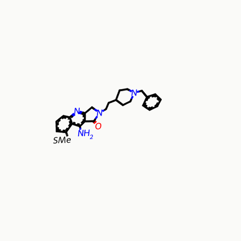 CSc1cccc2nc3c(c(N)c12)C(=O)N(CCC1CCN(Cc2ccccc2)CC1)C3